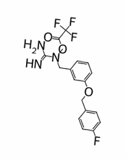 N=C(N)N(Cc1cccc(OCc2ccc(F)cc2)c1)OC(=O)C(F)(F)F